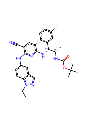 CCn1ncc2cc(Nc3nc(N[C@H](c4cccc(F)c4)[C@H](C)NC(=O)OC(C)(C)C)c(F)cc3C#N)ccc21